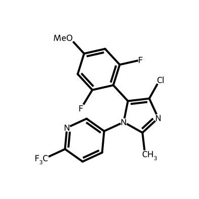 COc1cc(F)c(-c2c(Cl)nc(C)n2-c2ccc(C(F)(F)F)nc2)c(F)c1